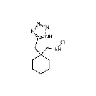 ClNCC1(Cc2nnn[nH]2)CCCCC1